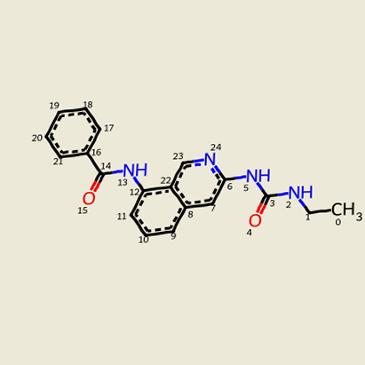 CCNC(=O)Nc1cc2cccc(NC(=O)c3ccccc3)c2cn1